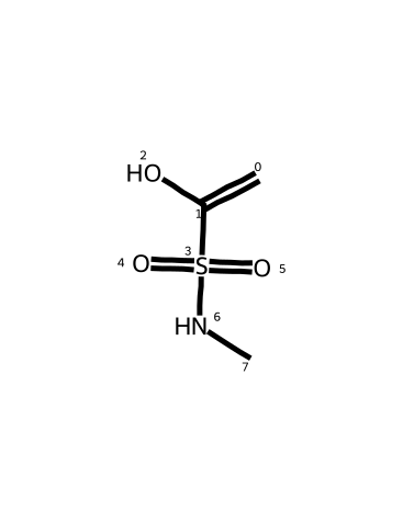 C=C(O)S(=O)(=O)NC